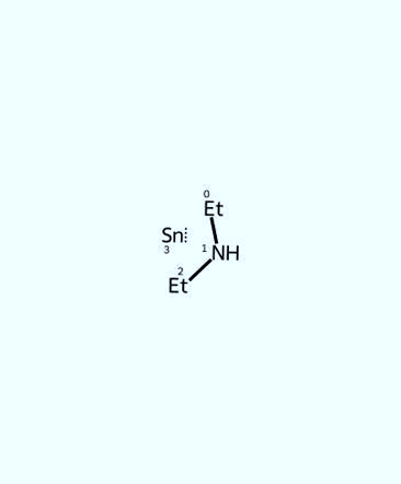 CCNCC.[Sn]